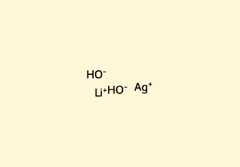 [Ag+].[Li+].[OH-].[OH-]